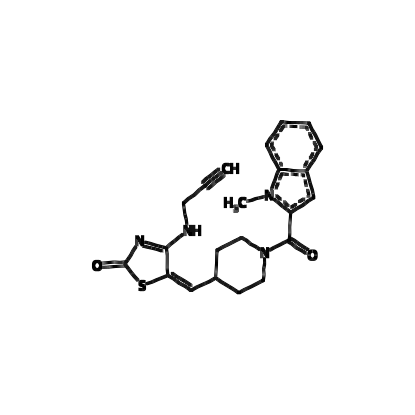 C#CCNC1=NC(=O)SC1=CC1CCN(C(=O)c2cc3ccccc3n2C)CC1